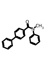 CN(C(=O)c1ccc(-c2ccccc2)cc1)c1ccccc1